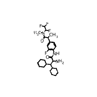 CC(C(=O)N(C)C(F)C(F)F)c1ccc(NC(=O)C(N)C(C2CCCCC2)C2CCCCC2)c(F)c1